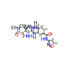 CCN(C(=O)O)C(=O)c1c[nH]c(C(=N)Nc2cc(C(=O)Nc3ccon3)ccc2C)c1C